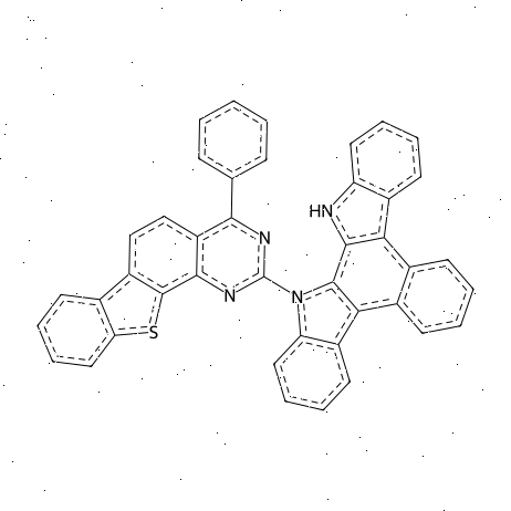 c1ccc(-c2nc(-n3c4ccccc4c4c5ccccc5c5c6ccccc6[nH]c5c43)nc3c2ccc2c4ccccc4sc23)cc1